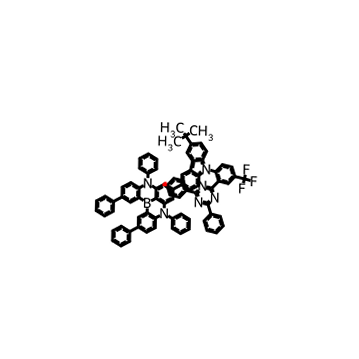 CC(C)(C)c1ccc2c(c1)c1cc(-c3cc4c5c(c3)N(c3ccccc3)c3ccc(-c6ccccc6)cc3B5c3cc(-c5ccccc5)ccc3N4c3ccccc3)ccc1n2-c1ccc(C(F)(F)F)cc1-c1nc(-c2ccccc2)nc(-c2ccccc2)n1